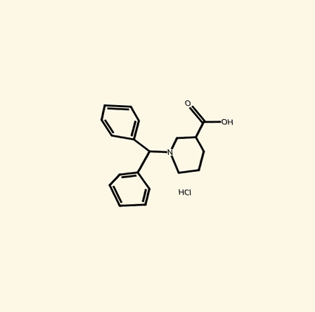 Cl.O=C(O)C1CCCN(C(c2ccccc2)c2ccccc2)C1